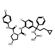 CC(C)(C)[S+]([O-])NC(CCC1CC1)(c1ccncc1)c1ccc(F)c(NC(=O)[C@H]2C[C@@H](O)CN2C(=O)Nc2ccc(Cl)cc2)c1